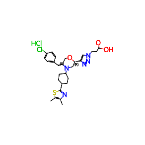 Cc1nc(C2CCC(N3C[C@H](c4cn(CCC(=O)O)nn4)OC[C@@H]3Cc3ccc(Cl)cc3)CC2)sc1C.Cl